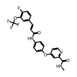 CNC(=O)c1cc(Oc2ccc(NC(=O)C=Cc3ccc(F)c(OC(F)(F)F)c3)cc2)ccn1